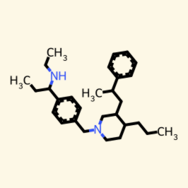 CCCC1CCN(Cc2ccc(C(CC)NCC)cc2)CC1CC(C)c1ccccc1